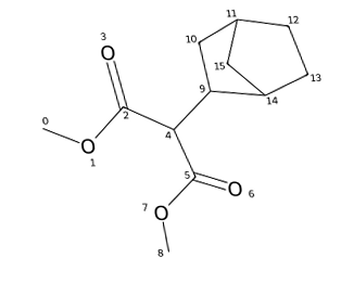 COC(=O)C(C(=O)OC)C1CC2CCC1C2